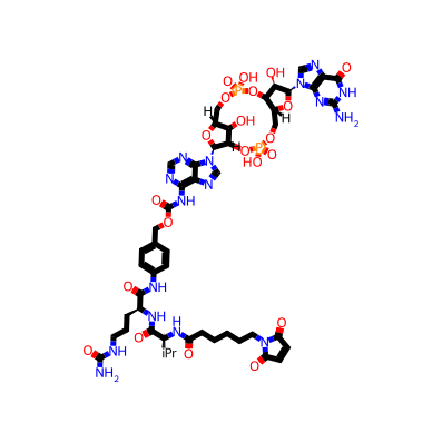 CC(C)[C@H](NC(=O)CCCCCN1C(=O)C=CC1=O)C(=O)N[C@@H](CCCNC(N)=O)C(=O)Nc1ccc(COC(=O)Nc2ncnc3c2ncn3[C@@H]2O[C@@H]3COP(=O)(O)OC4[C@@H](COP(=O)(O)O[C@H]2C3O)O[C@@H](n2cnc3c(=O)[nH]c(N)nc32)[C@H]4O)cc1